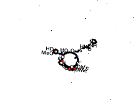 CO[C@H]1C[C@@H](C)C/C(C)=C/[C@@H](CCCSCCNC(=O)CNc2ccccn2)C(=O)C[C@H](O)[C@@H](C)[C@@H](/C(C)=C/[C@@H]2CC[C@@H](O)[C@H](OC)C2)OC(=O)[C@@H]2CCCCN2C(=O)C(=O)[C@]2(O)O[C@H]1[C@@H](OC)C[C@H]2C